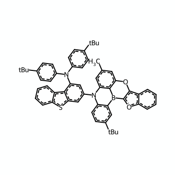 Cc1cc2c3c(c1)N(c1cc(N(c4ccc(C(C)(C)C)cc4)c4ccc(C(C)(C)C)cc4)c4c(c1)sc1ccccc14)c1ccc(C(C)(C)C)cc1B3c1oc3ccccc3c1O2